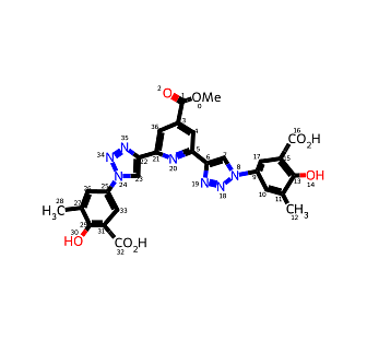 COC(=O)c1cc(-c2cn(-c3cc(C)c(O)c(C(=O)O)c3)nn2)nc(-c2cn(-c3cc(C)c(O)c(C(=O)O)c3)nn2)c1